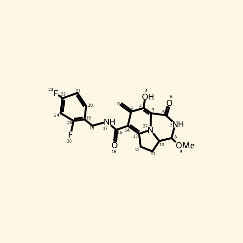 C=C1C(O)=C2C(=O)NC(OC)C3CCC(=C1C(=O)NCc1ccc(F)cc1F)N23